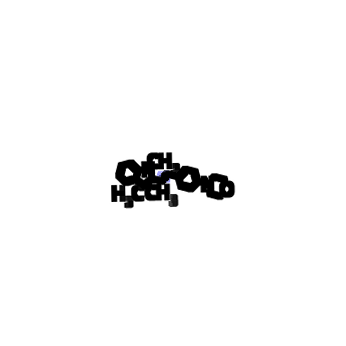 CN1c2ccccc2C(C)(C)C1/C=C/c1ccc(N2CCOCC2)cc1